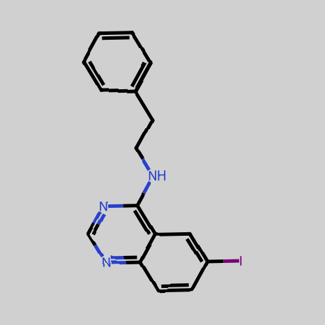 Ic1ccc2ncnc(NCCc3ccccc3)c2c1